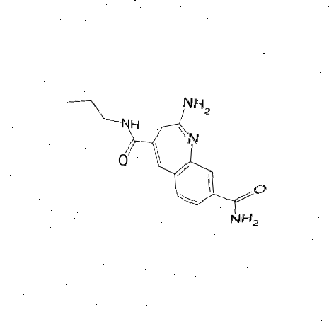 CCCNC(=O)C1=Cc2ccc(C(N)=O)cc2N=C(N)C1